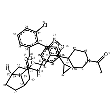 CC(=O)N1CCC(c2cccc(NC(=O)N3C4CC[C@H]3CC(OCc3c(-c5c(Cl)cccc5Cl)noc3C3CC3)C4)c2)CC1